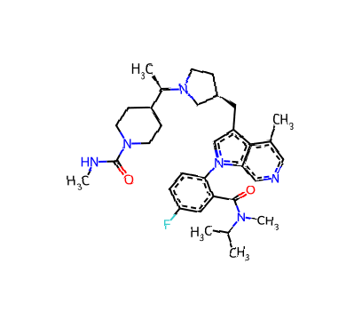 CNC(=O)N1CCC([C@@H](C)N2CC[C@@H](Cc3cn(-c4ccc(F)cc4C(=O)N(C)C(C)C)c4cncc(C)c34)C2)CC1